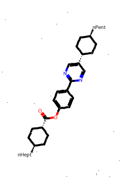 CCCCCCC[C@H]1CC[C@H](C(=O)Oc2ccc(-c3ncc([C@H]4CC[C@H](CCCCC)CC4)cn3)cc2)CC1